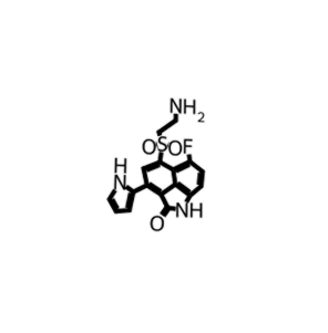 NCCS(=O)(=O)c1cc(-c2ccc[nH]2)c2c3c(ccc(F)c13)NC2=O